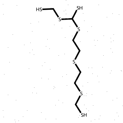 SCSCCSCCSC(S)SCS